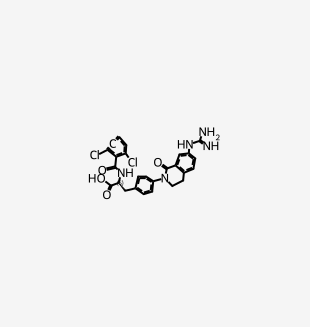 N=C(N)Nc1ccc2c(c1)C(=O)N(c1ccc(C[C@H](NC(=O)c3c(Cl)cccc3Cl)C(=O)O)cc1)CC2